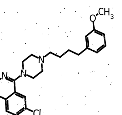 COc1cccc(CCCCN2CCN(c3nccc4ccc(Cl)cc34)CC2)c1